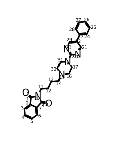 O=C1c2ccccc2C(=O)N1CCCCN1CCN(c2ncc(-c3ccccc3)cn2)CC1